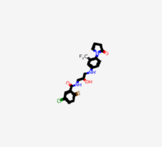 O=C(NCC(O)CNc1ccc(N2CCCC2=O)c(C(F)(F)F)c1)C1=CC(Cl)=CCC1=S